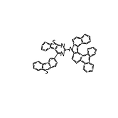 c1ccc2c(c1)ccc1c2c2c3c4ccccc4c4ccccc4c3ccc2n1-c1nc(-c2ccc3sc4ccccc4c3c2)c2c(n1)sc1ccccc12